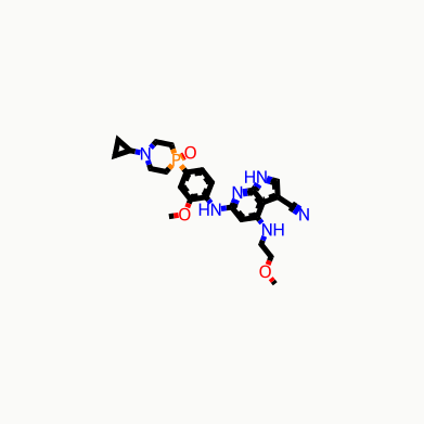 COCCNc1cc(Nc2ccc(P3(=O)CCN(C4CC4)CC3)cc2OC)nc2[nH]cc(C#N)c12